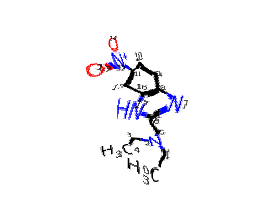 CCN(CC)Cc1nc2ccc([N+](=O)[O-])cc2[nH]1